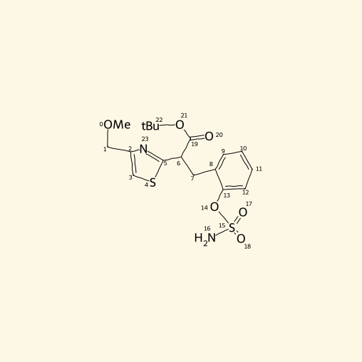 COCc1csc(C(Cc2ccccc2OS(N)(=O)=O)C(=O)OC(C)(C)C)n1